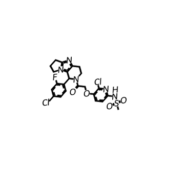 CS(=O)(=O)Nc1ccc(OCC(=O)N2CCc3nc4n(c3C2c2ccc(Cl)cc2F)CCC4)c(Cl)n1